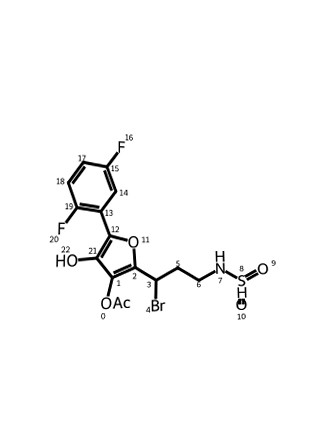 CC(=O)Oc1c(C(Br)CCN[SH](=O)=O)oc(-c2cc(F)ccc2F)c1O